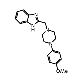 COc1ccc(N2CCN(Cc3nc4ccccc4[nH]3)CC2)cc1